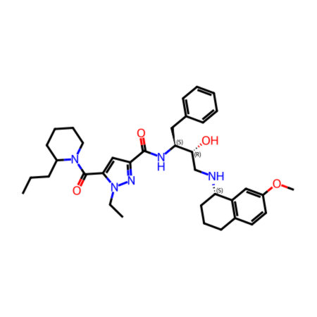 CCCC1CCCCN1C(=O)c1cc(C(=O)N[C@@H](Cc2ccccc2)[C@H](O)CN[C@H]2CCCc3ccc(OC)cc32)nn1CC